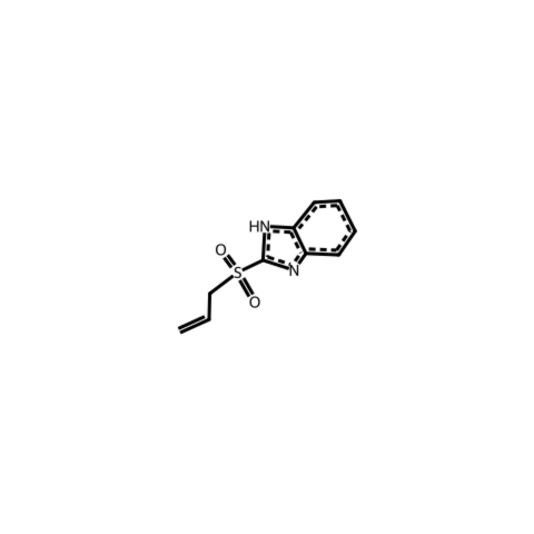 C=CCS(=O)(=O)c1nc2ccccc2[nH]1